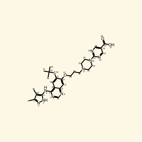 Cc1n[nH]c(Nc2ncnc3cc(OCCCN4CCN(c5ncc(C(=O)O)cn5)CC4)c(SC(C)(C)C)cc23)c1C